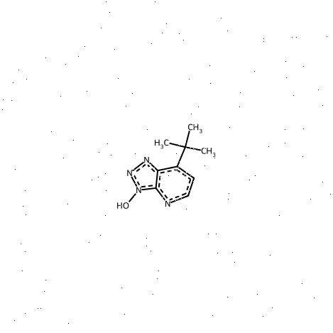 CC(C)(C)c1ccnc2c1nnn2O